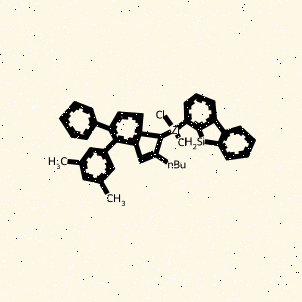 CCCCC1=Cc2c(ccc(-c3ccccc3)c2-c2cc(C)cc(C)c2)[CH]1[Zr]([Cl])([Cl])[c]1cccc2c1[SiH2]c1ccccc1-2